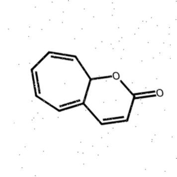 O=C1C=CC2=CC=CC=CC2O1